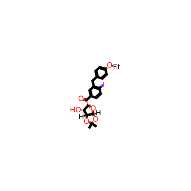 CCOc1ccc(Cc2cc(C(=O)[C@@H]3O[C@H]4OC(C)(C)O[C@H]4[C@@H]3O)ccc2I)cc1